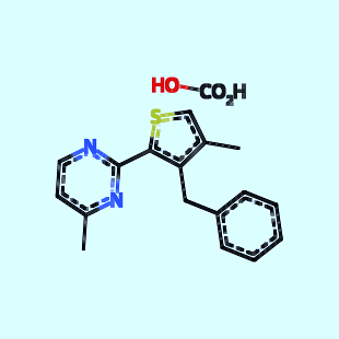 Cc1ccnc(-c2scc(C)c2Cc2ccccc2)n1.O=C(O)O